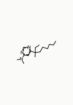 CCCCCCC(C)(CC)c1cc(N(C)C)ncn1